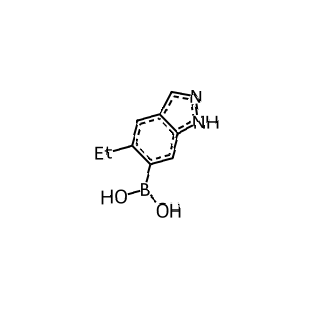 CCc1cc2cn[nH]c2cc1B(O)O